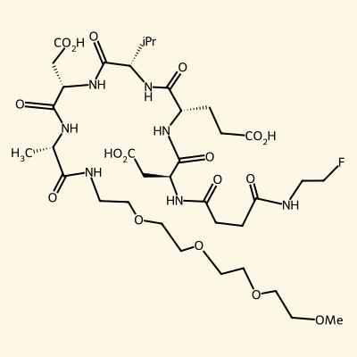 COCCOCCOCCOCCNC(=O)[C@H](C)NC(=O)[C@H](CC(=O)O)NC(=O)[C@@H](NC(=O)[C@H](CCC(=O)O)NC(=O)[C@H](CC(=O)O)NC(=O)CCC(=O)NCCF)C(C)C